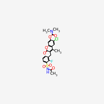 CC(=O)NS(=O)(=O)c1cccc(Cc2c(C)c3cc(Cl)c(OC(=O)N(C)C)cc3oc2=O)c1F